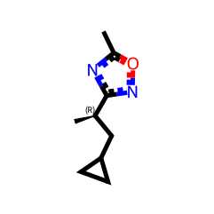 Cc1nc([C@H](C)CC2CC2)no1